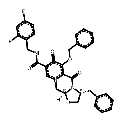 O=C(NCc1ccc(F)cc1F)c1cn2c(c(OCc3ccccc3)c1=O)C(=O)N1[C@H](Cc3ccccc3)CO[C@H]1C2